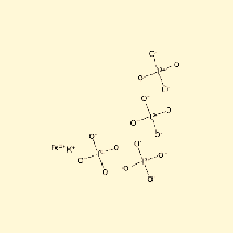 [Fe+3].[K+].[O-][I+3]([O-])([O-])[O-].[O-][I+3]([O-])([O-])[O-].[O-][I+3]([O-])([O-])[O-].[O-][I+3]([O-])([O-])[O-]